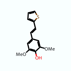 COc1cc(/C=C/c2cccs2)cc(OC)c1O